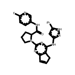 CC(C)c1cc(Nc2nc(N3CCCC3C(=O)Nc3ccc(F)nc3)nc3c2CC=C3)n[nH]1